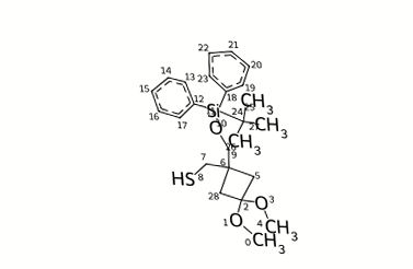 COC1(OC)CC(CS)(CO[Si](c2ccccc2)(c2ccccc2)C(C)(C)C)C1